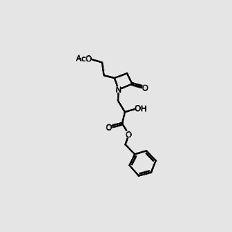 CC(=O)OCCC1CC(=O)N1CC(O)C(=O)OCc1ccccc1